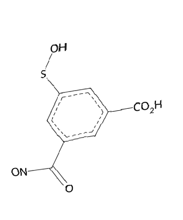 O=NC(=O)c1cc(SO)cc(C(=O)O)c1